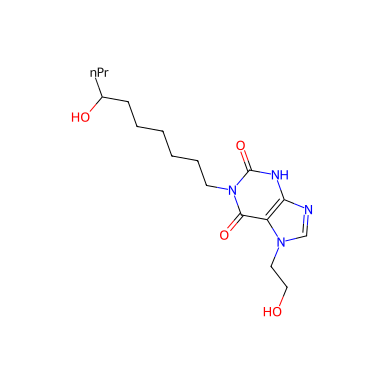 CCCC(O)CCCCCCn1c(=O)[nH]c2ncn(CCO)c2c1=O